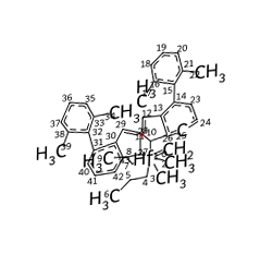 [CH2]=[Hf]([CH3])([CH3])([CH2]CC)([CH2]CC)([CH]1C=Cc2c(-c3c(C)cccc3C)cccc21)[CH]1C=Cc2c(-c3c(C)cccc3C)cccc21